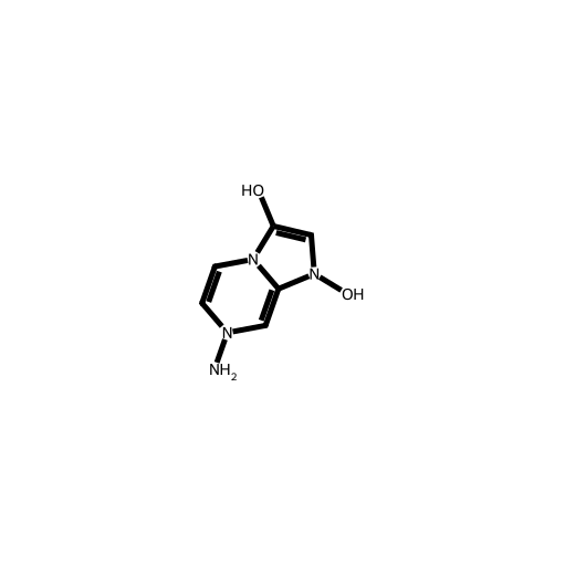 NN1C=CN2C(O)=CN(O)C2=C1